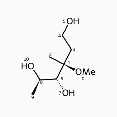 CO[C@@](C)(CCO)[C@H](O)[C@@H](C)O